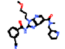 COCCCn1c(NC(=O)c2cccc(C#N)c2)nc2cc(C(=O)N(C)Cc3cccnc3)cnc21